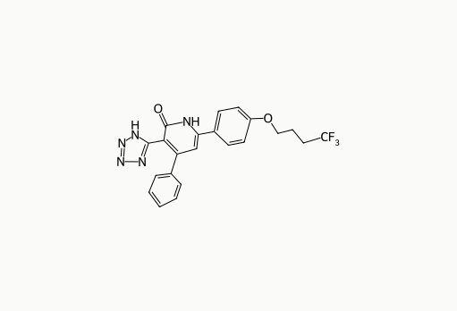 O=c1[nH]c(-c2ccc(OCCCC(F)(F)F)cc2)cc(-c2ccccc2)c1-c1nnn[nH]1